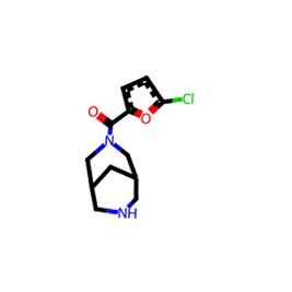 O=C(c1ccc(Cl)o1)N1CC2CNCC(C2)C1